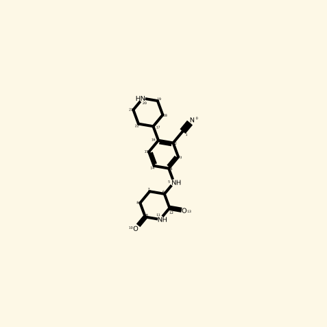 N#Cc1cc(NC2CCC(=O)NC2=O)ccc1C1CCNCC1